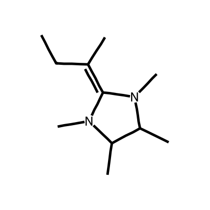 CCC(C)=C1N(C)C(C)C(C)N1C